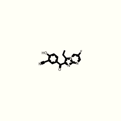 CCc1c(C(=O)c2ccc(O)c(C#N)c2)nc2ncc(F)cn12